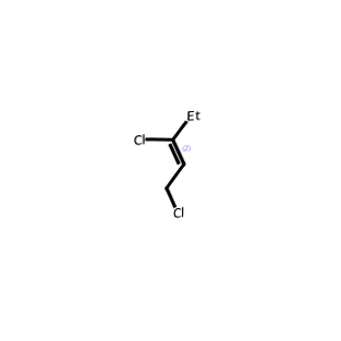 CC/C(Cl)=C/CCl